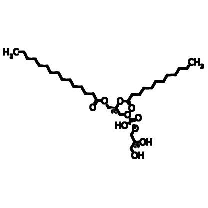 CCCCCCCCCCCCCCC(=O)OC[C@H](COP(=O)(O)OC[C@@H](O)CO)OC(=O)CCCCCCCCCCC